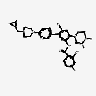 C[C@H]1CN(c2cc(F)c(-c3ccc(N4CCN(CC5CC5)CC4)nc3)cc2NC(=O)c2ccc(F)cc2C(F)(F)F)CCN1C